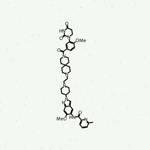 COc1cc2nn(C3CCN(CCN4CCC5(CC4)CCN(C(=O)c4ccc(OC)c(N6CCC(=O)NC6=O)c4)CC5)CC3)cc2cc1NC(=O)c1cccc(C)n1